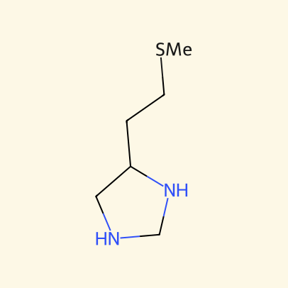 CSCCC1CNCN1